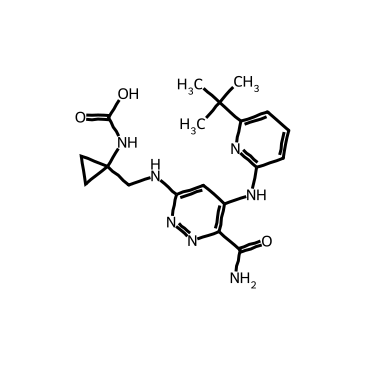 CC(C)(C)c1cccc(Nc2cc(NCC3(NC(=O)O)CC3)nnc2C(N)=O)n1